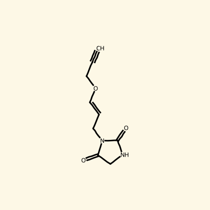 C#CCOC=CCN1C(=O)CNC1=O